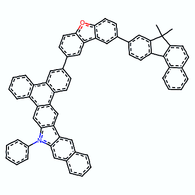 CC1(C)c2cc(-c3ccc4oc5ccc(-c6ccc7c(c6)c6ccccc6c6cc8c(cc76)c6cc7ccccc7cc6n8-c6ccccc6)cc5c4c3)ccc2-c2c1ccc1ccccc21